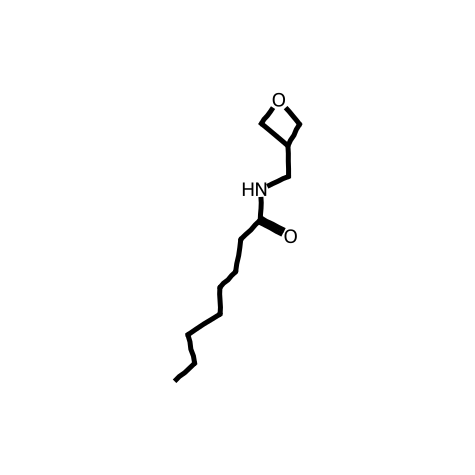 CCCCCCCC(=O)NCC1COC1